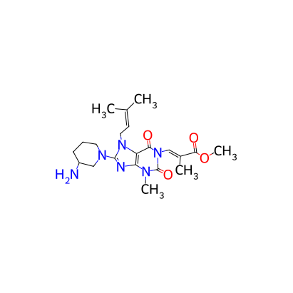 COC(=O)C(C)=Cn1c(=O)c2c(nc(N3CCCC(N)C3)n2CC=C(C)C)n(C)c1=O